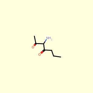 CCCC(=O)C(N)C(C)=O